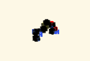 O=c1[nH]cccc1N1CCOC(c2cccc3c2Sc2ccc(NCc4cncc(-c5cccnc5)c4)cc2S3)C1